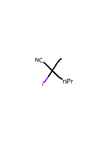 CCCC(C)(I)C#N